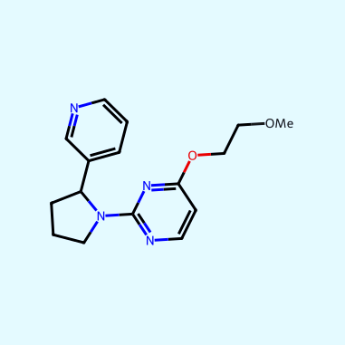 COCCOc1ccnc(N2CCCC2c2cccnc2)n1